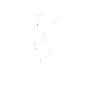 COC(=O)[C@H](CC(C)C)n1cc(Br)c(C(F)(F)F)nc1=O